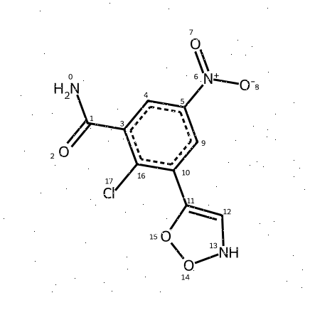 NC(=O)c1cc([N+](=O)[O-])cc(C2=CNOO2)c1Cl